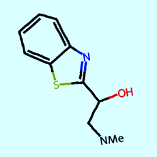 CNCC(O)c1nc2ccccc2s1